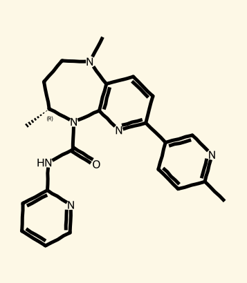 Cc1ccc(-c2ccc3c(n2)N(C(=O)Nc2ccccn2)[C@H](C)CCN3C)cn1